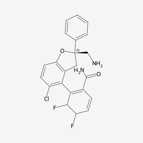 NC[C@@]1(c2ccccc2)Cc2c(ccc(Cl)c2C2=C(C(N)=O)C=CC(F)C2F)O1